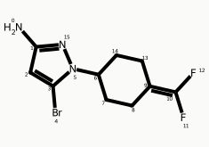 Nc1cc(Br)n(C2CCC(=C(F)F)CC2)n1